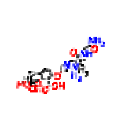 CC(N)(CN1CC(Oc2ccc3c(c2C(=O)O)O[B-](O)(O)[C@@H]2CC32)C1)C(=O)NCC(N)=O